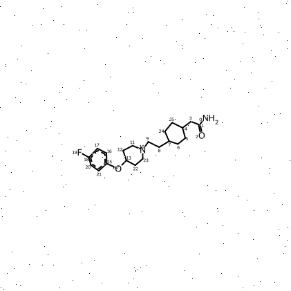 NC(=O)CC1CCC(CCN2CCC(Oc3ccc(F)cc3)CC2)CC1